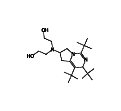 CC(C)(C)C1=NC(C(C)(C)C)C(C(C)(C)C)=C2CC(N(CCO)CCO)CN12